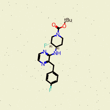 CC(C)(C)OC(=O)N1CC[C@@H](Nc2nccnc2Cc2ccc(F)cc2)[C@H](F)C1